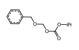 CC(C)OC(=O)OCOCc1ccccc1